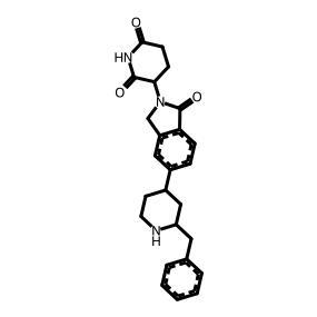 O=C1CCC(N2Cc3cc(C4CCNC(Cc5ccccc5)C4)ccc3C2=O)C(=O)N1